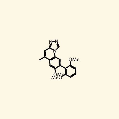 COc1cc2c(C)cc3nncn3c2cc1-c1c(OC)cccc1OC